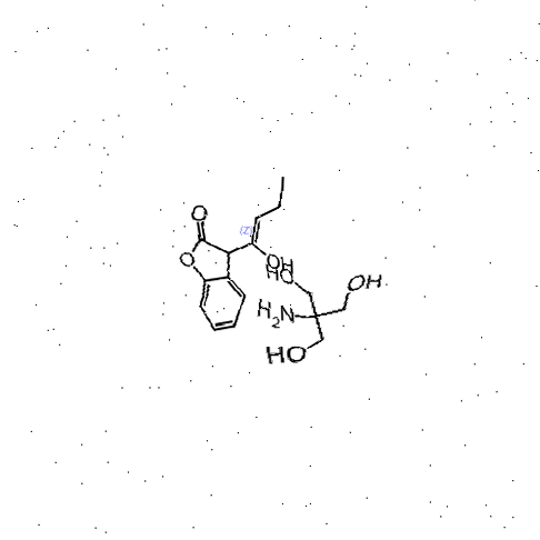 CC/C=C(\O)C1C(=O)Oc2ccccc21.NC(CO)(CO)CO